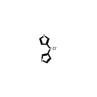 [Cl-].c1cc([I+]c2ccsc2)cs1